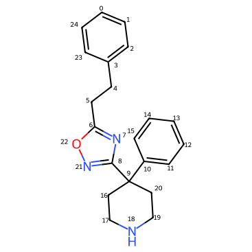 c1ccc(CCc2nc(C3(c4ccccc4)CCNCC3)no2)cc1